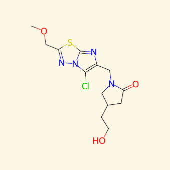 COCc1nn2c(Cl)c(CN3CC(CCO)CC3=O)nc2s1